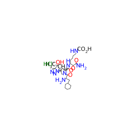 CC(C)(O)c1cnnn1[C@H]1C[C@@H](C(=O)NC(CCCCNC(=O)O)C(=O)C(N)=O)N(C(=O)C(N)CC2CCCCC2)C1.Cl